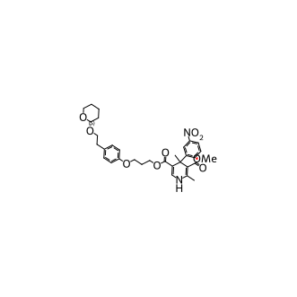 COC(=O)C1=C(C)NC=C(C(=O)OCCCOc2ccc(CCO[C@H]3CCCCO3)cc2)C1(C)c1cccc([N+](=O)[O-])c1